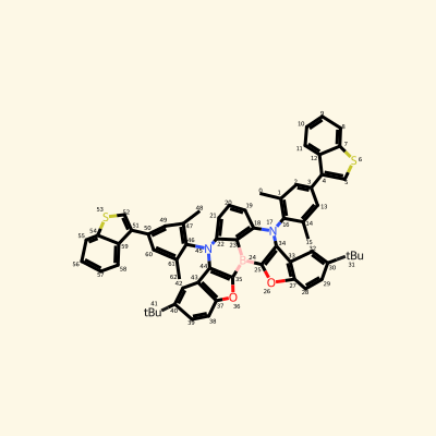 Cc1cc(-c2csc3ccccc23)cc(C)c1N1c2cccc3c2B(c2oc4ccc(C(C)(C)C)cc4c21)c1oc2ccc(C(C)(C)C)cc2c1N3c1c(C)cc(-c2csc3ccccc23)cc1C